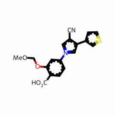 COCOc1cc(-n2cc(C#N)c(-c3ccsc3)c2)ccc1C(=O)O